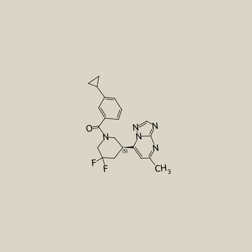 Cc1cc([C@@H]2CN(C(=O)c3cccc(C4CC4)c3)CC(F)(F)C2)n2ncnc2n1